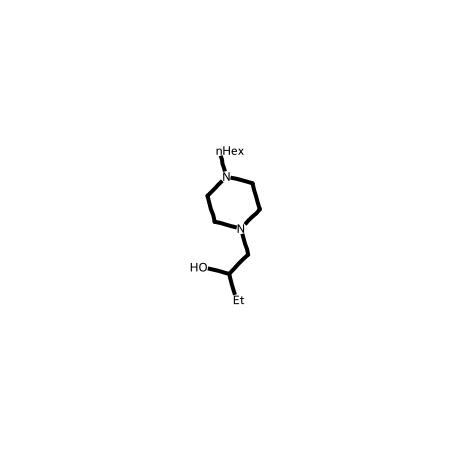 CCCCCCN1CCN(CC(O)CC)CC1